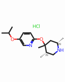 CC(C)Oc1ccc(OC2(C)C[C@H](C)NC[C@@H]2C)nc1.Cl